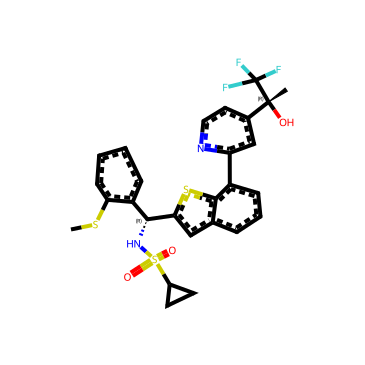 CSc1ccccc1[C@@H](NS(=O)(=O)C1CC1)c1cc2cccc(-c3cc([C@@](C)(O)C(F)(F)F)ccn3)c2s1